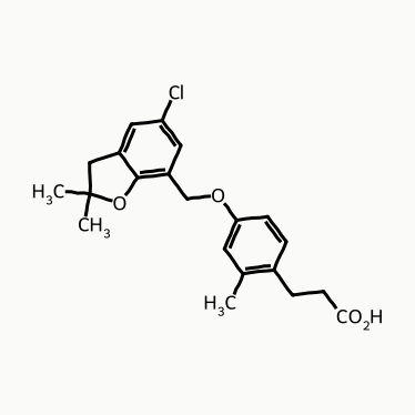 Cc1cc(OCc2cc(Cl)cc3c2OC(C)(C)C3)ccc1CCC(=O)O